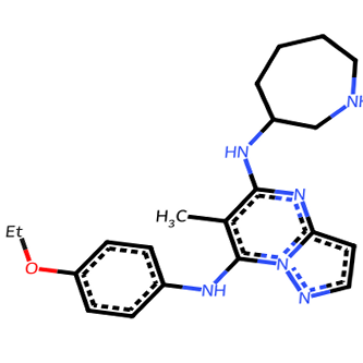 CCOc1ccc(Nc2c(C)c(NC3CCCCNC3)nc3ccnn23)cc1